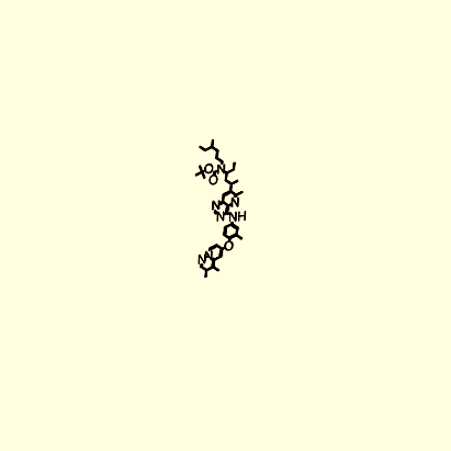 CCC(C)CCCN(C(=O)OC(C)(C)C)C(CC)CC(C)c1cc2ncnc(Nc3ccc(OC4=CC5=C(C)C(C)C=NN5C=C4)c(C)c3)c2nc1C